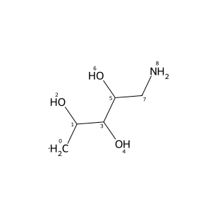 [CH2]C(O)C(O)C(O)CN